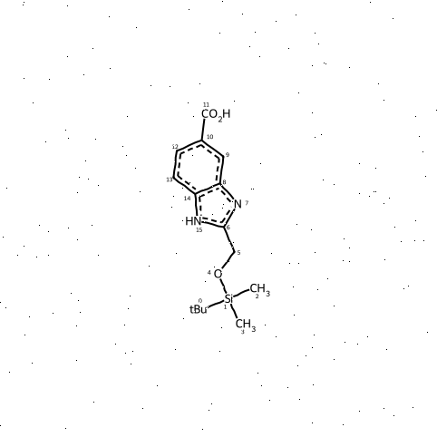 CC(C)(C)[Si](C)(C)OCc1nc2cc(C(=O)O)ccc2[nH]1